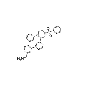 NCc1cccc(-c2cccc(C3CN(S(=O)(=O)c4ccccc4)CCN3c3ccccc3)c2)c1